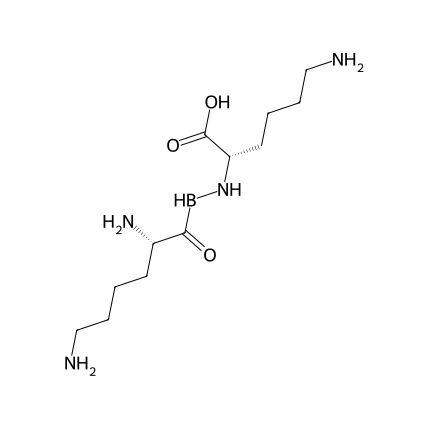 NCCCC[C@H](NBC(=O)[C@@H](N)CCCCN)C(=O)O